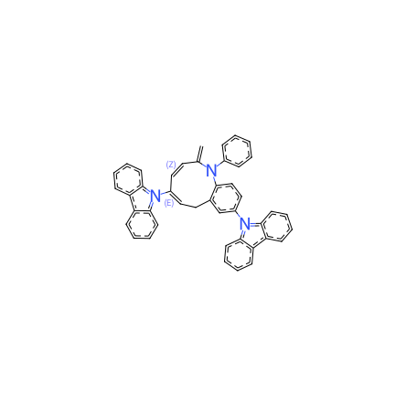 C=C1/C=C\C(n2c3ccccc3c3ccccc32)=C/Cc2cc(-n3c4ccccc4c4ccccc43)ccc2N1c1ccccc1